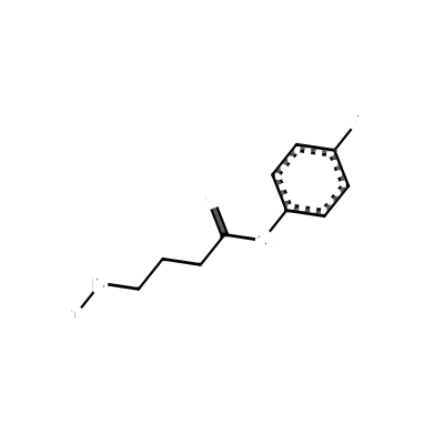 CC(=O)c1ccc(NC(=O)CCCNC(C)C)cc1